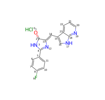 Cl.O=C1NC(c2ccc(F)cc2)=NC1=Cc1c[nH]c2ncccc12